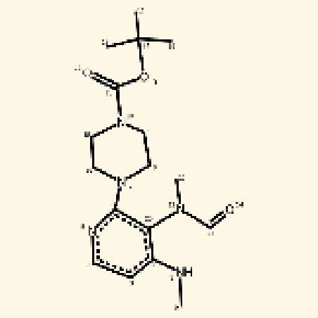 CNc1ccnc(N2CCN(C(=O)OC(C)(C)C)CC2)c1N(C)C=O